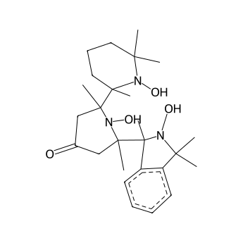 CC1(C)CCCC(C)(C2(C)CC(=O)CC(C)(C3(C)c4ccccc4C(C)(C)N3O)N2O)N1O